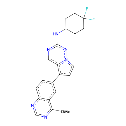 COc1ncnc2ccc(-c3ccn4nc(NC5CCC(F)(F)CC5)ncc34)cc12